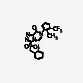 Cc1c(-n2ccn3c(S(=O)(=O)Cc4ccccc4I)nnc3c2=O)cccc1C(F)(F)F